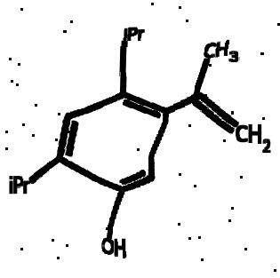 C=C(C)c1cc(O)c(C(C)C)cc1C(C)C